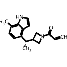 C=CC(=O)N1CC([C@H](C)c2ccc(C)c3[nH]ccc23)C1